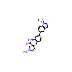 Cn1ncc2cc(-c3ccc4c(c3)NC(=O)C3(CCN(C#N)C3)C4)ccc21